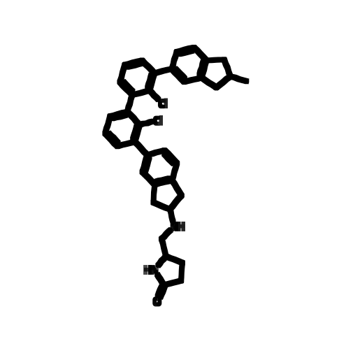 CC1Cc2ccc(-c3cccc(-c4cccc(-c5ccc6c(c5)CC(NCC5CCC(=O)N5)C6)c4Cl)c3Cl)cc2C1